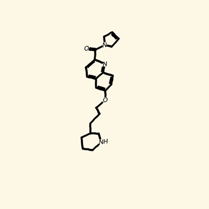 O=C(c1ccc2cc(OCCCC3CCCNC3)ccc2n1)N1CC=CC1